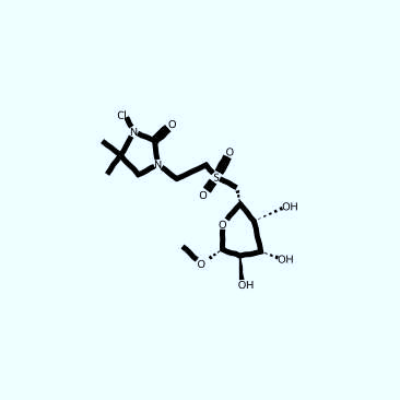 CO[C@@H]1O[C@H](CS(=O)(=O)CCN2CC(C)(C)N(Cl)C2=O)[C@H](O)[C@H](O)[C@H]1O